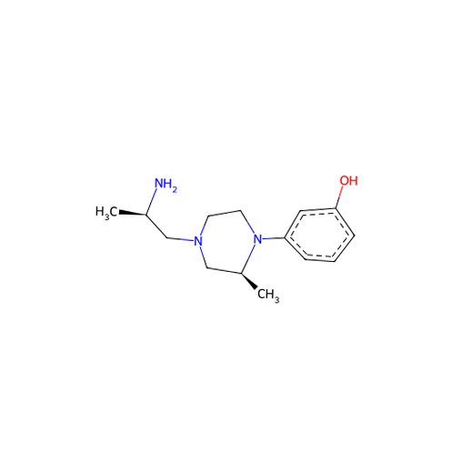 C[C@@H](N)CN1CCN(c2cccc(O)c2)[C@@H](C)C1